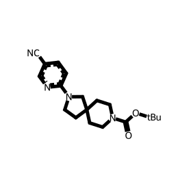 CC(C)(C)OC(=O)N1CCC2(CC1)CCN(c1ccc(C#N)cn1)C2